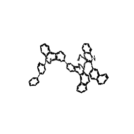 c1ccc(-c2ccc(-n3c4ccccc4c4ccc(-c5ccc6c7c8ccccc8ccc7n(-c7nc8ccccc8nc7-c7ccc8ccccc8c7)c6c5)cc43)cc2)cc1